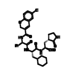 CC(C)C(NC(=O)C1=Cc2cc(Cl)ccc2OC1)C(=O)N[C@@H](CC1CCCCC1)C(=O)N[C@H](C=O)C[C@@H]1CCNC1=O